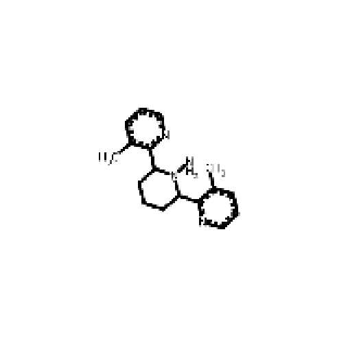 Cc1cccnc1C1CCCC(c2ncccc2C)N1N